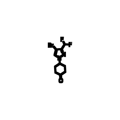 O=C1CCC(n2cc(Br)c(C(F)F)n2)CC1